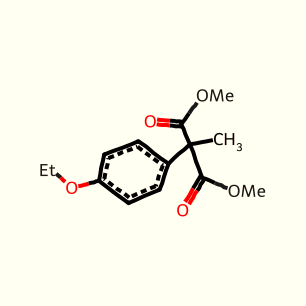 CCOc1ccc(C(C)(C(=O)OC)C(=O)OC)cc1